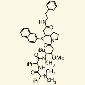 CCC(C)C(C(CC(=O)N1CCCC1C(CC(=O)NCCc1ccccc1)Sc1ccc2ccccc2c1)OC)N(C)C(=O)C(NC(=O)C(C(C)C)N(C)C)C(C)C